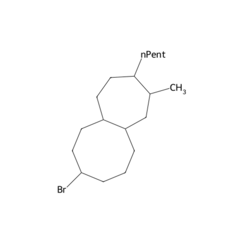 CCCCCC1CCC2CCC(Br)CCCC2CC1C